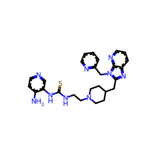 Nc1ccncc1NC(=S)NCCN1CCC(Cc2nc3cccnc3n2Cc2ccccn2)CC1